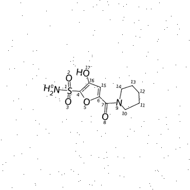 NS(=O)(=O)c1oc(C(=O)N2CCCCC2)cc1O